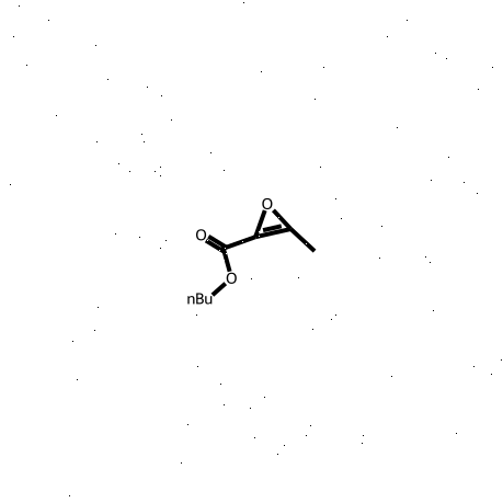 CCCCOC(=O)C1=C(C)O1